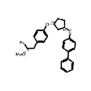 CO[C@@H](Cc1ccc(O[C@@H]2CC[C@@H](Oc3ccc(-c4ccccc4)cc3)C2)cc1)C(C)=O